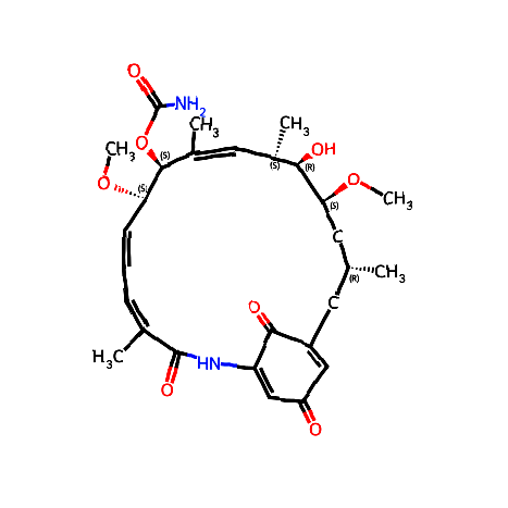 CO[C@H]1C=CC=C(C)C(=O)NC2=CC(=O)C=C(C[C@@H](C)C[C@H](OC)[C@H](O)[C@@H](C)C=C(C)[C@@H]1OC(N)=O)C2=O